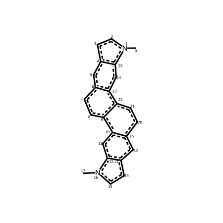 Cn1ccc2cc3ccc4c5cc6c(ccn6C)cc5ccc4c3cc21